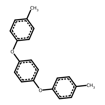 Cc1ccc(Oc2ccc(Oc3ccc(C)cc3)cc2)cc1